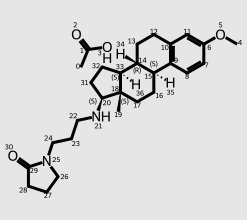 CC(=O)O.COc1ccc2c(c1)CC[C@@H]1[C@@H]2CC[C@]2(C)[C@@H](NCCCN3CCCC3=O)CC[C@@H]12